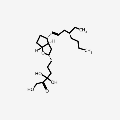 CCCC[C@H](CC)CC=C[C@H]1CC[C@H]2O[C@@H](CCCC(O)(O)C(=O)CO)C[C@H]12